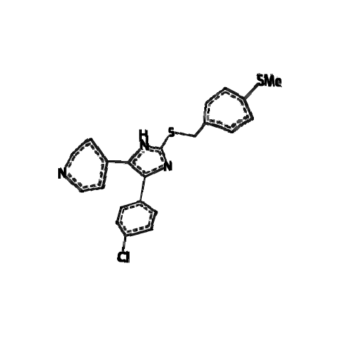 CSc1ccc(CSc2nc(-c3ccc(Cl)cc3)c(-c3ccncc3)[nH]2)cc1